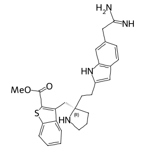 COC(=O)c1sc2ccccc2c1C[C@]1(CCc2cc3ccc(CC(=N)N)cc3[nH]2)CCCN1